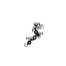 CC(CO)NC(=O)c1cc2[nH]c(=O)n(C3CCN(CC(O)c4ccc(Cl)cc4)CC3)c2cc1F